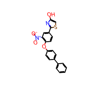 O=[N+]([O-])c1cc(-c2nc(O)cs2)ccc1Oc1ccc(-c2ccccc2)cc1